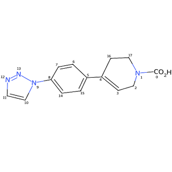 O=C(O)N1CC=C(c2ccc(-n3ccnn3)cc2)CC1